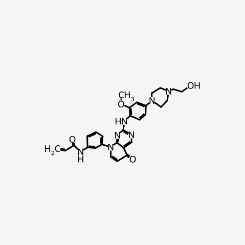 C=CC(=O)Nc1cccc(-n2ccc(=O)c3cnc(Nc4ccc(N5CCN(CCO)CC5)cc4OC)nc32)c1